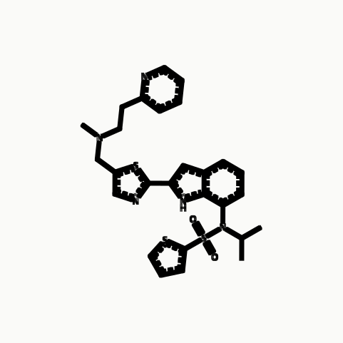 CC(C)N(c1cccc2cc(-c3ncc(CN(C)CCc4ccccn4)s3)[nH]c12)S(=O)(=O)c1cccs1